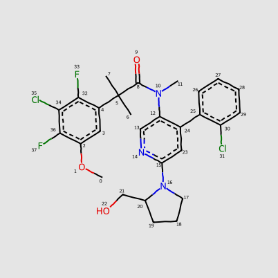 COc1cc(C(C)(C)C(=O)N(C)c2cnc(N3CCCC3CO)cc2-c2ccccc2Cl)c(F)c(Cl)c1F